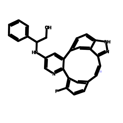 OCC(Nc1cnc2c(c1)-c1ccc3[nH]nc(c3c1)/C=C\c1ccc(F)c-2c1)c1ccccc1